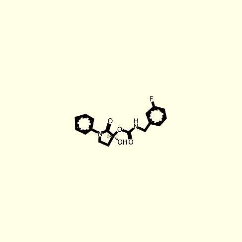 O=C(NCc1cccc(F)c1)O[C@@]1(O)CCN(c2ccccc2)C1=O